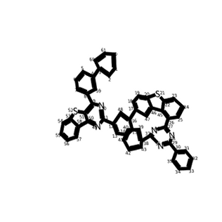 c1ccc(-c2cccc(-c3nc(-c4cccc(-c5ccc6sc7cccc(-c8nc(-c9ccccc9)nc(-c9ccccc9)n8)c7c6c5)c4)nc4c3sc3ccccc34)c2)cc1